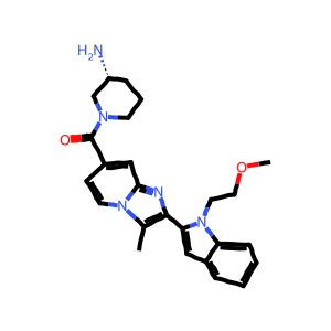 COCCn1c(-c2nc3cc(C(=O)N4CCC[C@@H](N)C4)ccn3c2C)cc2ccccc21